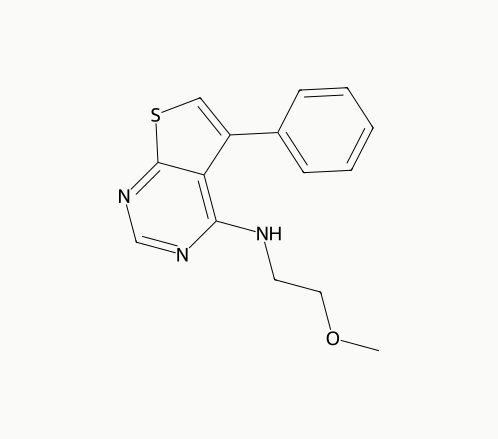 COCCNc1ncnc2scc(-c3ccccc3)c12